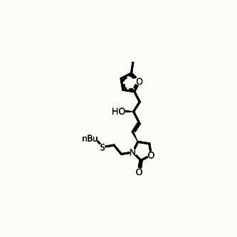 CCCCSCCN1C(=O)OC[C@@H]1/C=C/[C@@H](O)Cc1ccc(C)o1